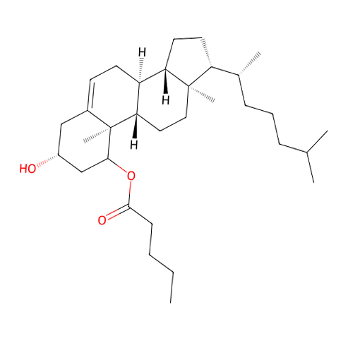 CCCCC(=O)OC1C[C@H](O)CC2=CC[C@H]3[C@@H]4CC[C@H]([C@H](C)CCCC(C)C)[C@@]4(C)CC[C@@H]3[C@]21C